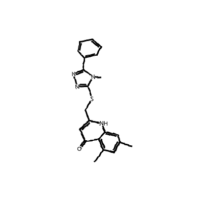 Cc1cc(C)c2c(=O)cc(CSc3nnc(-c4ccccc4)n3C)[nH]c2c1